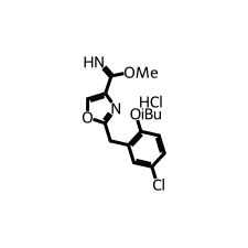 COC(=N)c1coc(Cc2cc(Cl)ccc2OCC(C)C)n1.Cl